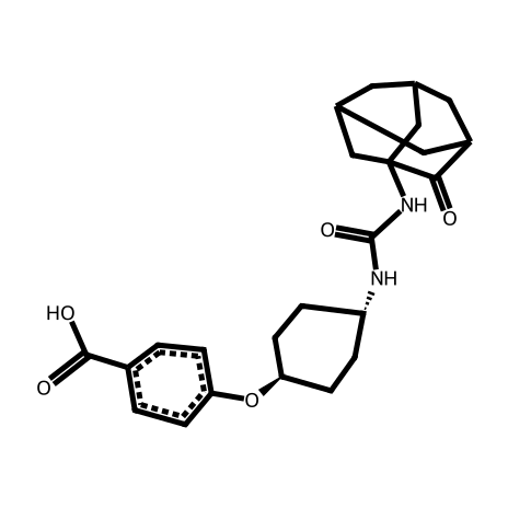 O=C(NC12CC3CC(CC(C3)C1=O)C2)N[C@H]1CC[C@H](Oc2ccc(C(=O)O)cc2)CC1